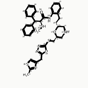 Cc1nc(Cc2nnc(SC[C@@H]3CNC[C@@H](CCc4ccccc4NC(=O)[C@@H](NC(=O)O)C(c4ccccc4)c4ccccc4)O3)o2)cs1